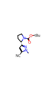 Cn1nc([C@@H]2CCCN2C(=O)OC(C)(C)C)cc1C#N